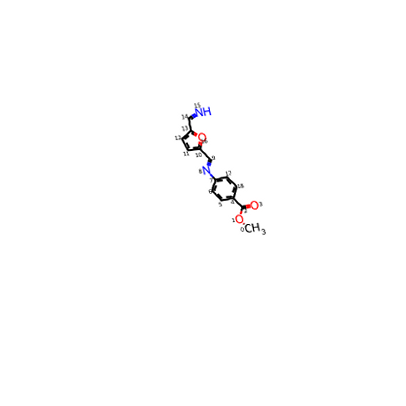 COC(=O)c1ccc(N=Cc2ccc(C=N)o2)cc1